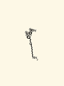 NCCCCCCCCCCOCCCc1ccc[n+](-c2ccc([N+](=O)O)cc2[N+](=O)[O-])c1